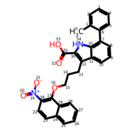 Cc1ccccc1-c1cccc2c(CCCOc3c([N+](=O)[O-])ccc4ccccc34)c(C(=O)O)[nH]c12